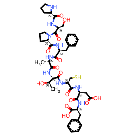 C[C@H](NC(=O)[C@H](Cc1ccccc1)NC(=O)[C@@H]1CCCN1C(=O)[C@H](CO)NC(=O)[C@@H]1CCCN1)C(=O)N[C@H](C(=O)N[C@@H](CS)C(=O)N[C@@H](CC(=O)O)C(=O)N[C@@H](Cc1ccccc1)C(=O)O)[C@@H](C)O